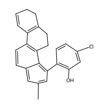 Cc1cc(-c2ccc(Cl)cc2O)c2c3c(ccc2c1)C1=C(CCC=C1)CC3